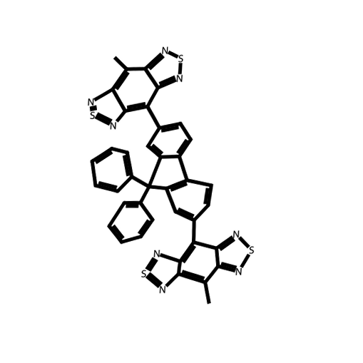 Cc1c2c(c(-c3ccc4c(c3)C(c3ccccc3)(c3ccccc3)c3cc(-c5c6c(c(C)c7nsnc57)N=S=N6)ccc3-4)c3nsnc13)N=S=N2